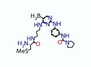 Bc1cnc(Nc2cccc(NC(=O)N3CCCC3)c2)nc1NCCCNC(=O)[C@@H](N)CSC